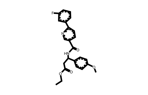 CCOC(=O)CC(NC(=O)c1ccc(-c2cccc(F)c2)nc1)c1ccc(OC)cc1